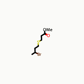 COC(=O)CCSCCC(C)Br